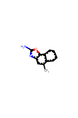 Nc1nc2cc(C(F)(F)F)c3ccccc3c2o1